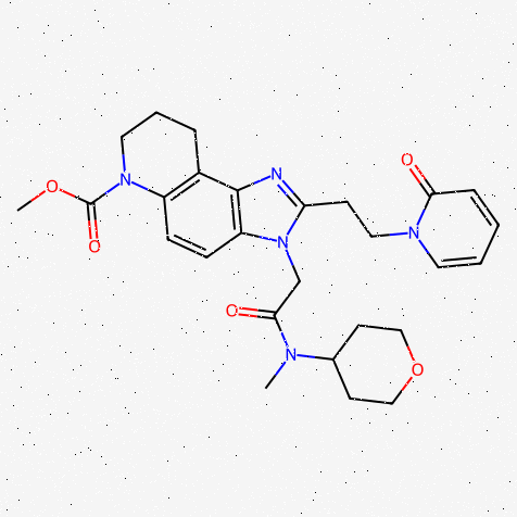 COC(=O)N1CCCc2c1ccc1c2nc(CCn2ccccc2=O)n1CC(=O)N(C)C1CCOCC1